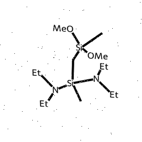 CCN(CC)[Si](C)(C[Si](C)(OC)OC)N(CC)CC